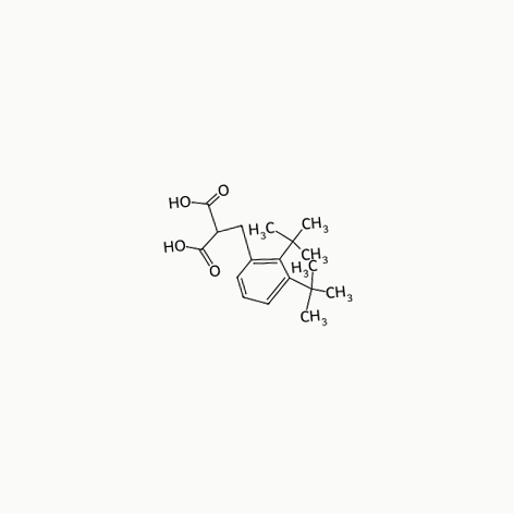 CC(C)(C)c1cccc(CC(C(=O)O)C(=O)O)c1C(C)(C)C